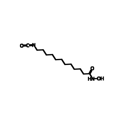 O=C=NCCCCCCCCCCCC(=O)NO